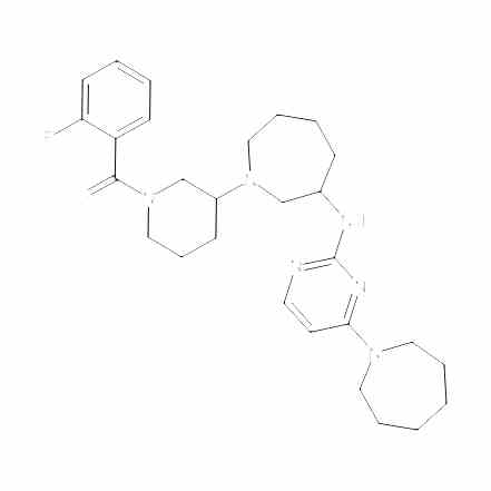 O=C(c1ccccc1F)N1CCCC(N2CCCCC(Nc3nccc(N4CCCCCC4)n3)C2)C1